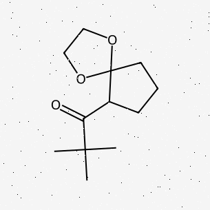 CC(C)(C)C(=O)C1CCCC12OCCO2